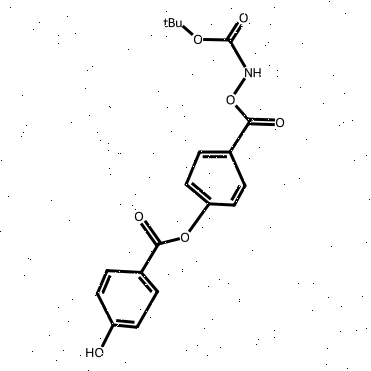 CC(C)(C)OC(=O)NOC(=O)c1ccc(OC(=O)c2ccc(O)cc2)cc1